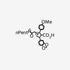 CCCCCN(C)C(=O)CN1CC(c2ccc3c(c2)OCO3)C(C(=O)O)C1c1ccc(OC)cc1